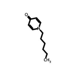 CCCCCCn1ccc(=O)cc1